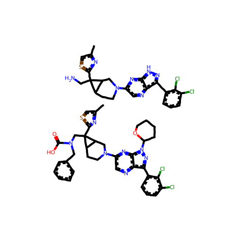 Cc1csc(C2(CN(Cc3ccccc3)C(=O)O)C3CCN(c4cnc5c(-c6cccc(Cl)c6Cl)nn(C6CCCCO6)c5n4)CC32)n1.Cc1csc(C2(CN)C3CCN(c4cnc5c(-c6cccc(Cl)c6Cl)n[nH]c5n4)CC32)n1